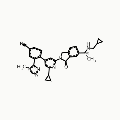 C[C@@H](NCC1CC1)c1ccc2c(c1)C(=O)N(c1cc(-c3ccc(C#N)cc3-c3nncn3C)cc(C3CC3)n1)C2